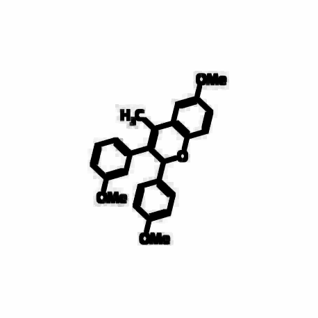 COc1ccc(C2Oc3ccc(OC)cc3C(C)=C2c2cccc(OC)c2)cc1